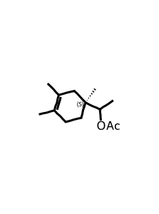 CC(=O)OC(C)[C@@]1(C)CCC(C)=C(C)C1